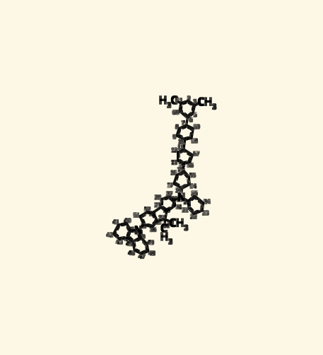 Cc1cc(C)cc(-c2ccc(-c3ccc(-c4ccc(N(c5ccccc5)c5ccc6c(c5)C(C)(C)c5cc(-n7c8ccccc8c8ccccc87)ccc5-6)cc4)cc3)cc2)c1